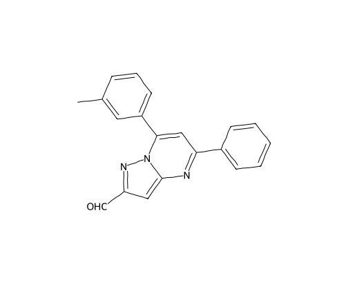 Cc1cccc(-c2cc(-c3ccccc3)nc3cc(C=O)nn23)c1